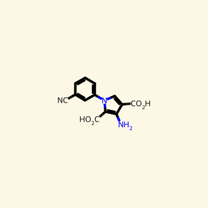 N#Cc1cccc(-n2cc(C(=O)O)c(N)c2C(=O)O)c1